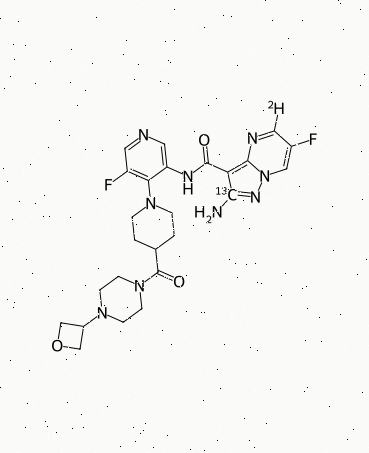 [2H]c1nc2c(C(=O)Nc3cncc(F)c3N3CCC(C(=O)N4CCN(C5COC5)CC4)CC3)[13c](N)nn2cc1F